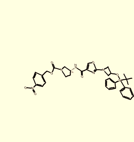 CC(C)(C)[Si](OC1CN(c2nc(C(=O)N[C@@H]3CCN(C(=O)OCc4ccc([N+](=O)[O-])cc4)C3)co2)C1)(c1ccccc1)c1ccccc1